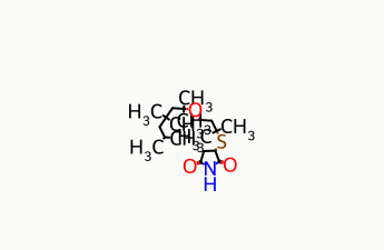 CC(C)CC(C)(C)CC(C)(C)OCCC(C)(C)SC1CC(=O)NC1=O